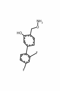 NOCc1ccc(-c2ccc(F)cc2F)cc1O